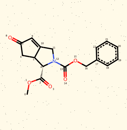 COC(=O)[C@@H]1C2CC(=O)C=C2CN1C(=O)OCc1ccccc1